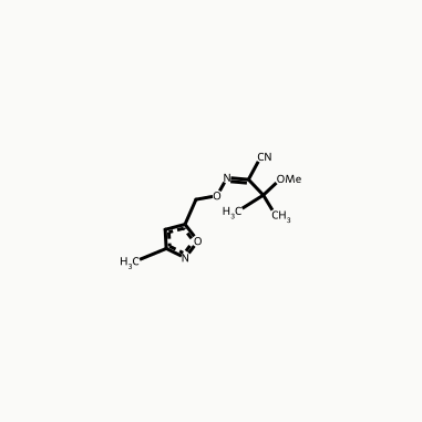 COC(C)(C)C(C#N)=NOCc1cc(C)no1